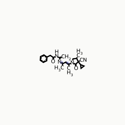 C=C(/N=C(C)\C=C(/C)N1CC(C)C(C#N)(C2CC2)C1=O)NC(=O)Cc1ccccc1